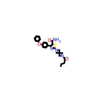 CCCC1OC1N1CC2(CN(c3nc(-c4ccc(Oc5ccccc5)cc4)c(C(N)=O)s3)C2)C1